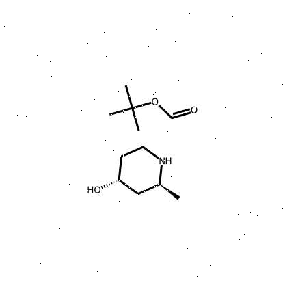 CC(C)(C)OC=O.C[C@H]1C[C@H](O)CCN1